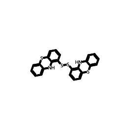 c1ccc2c(c1)Nc1c(SSc3cccc4c3Nc3ccccc3S4)cccc1S2